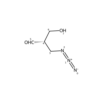 [N-]=[N+]=NC[C@H](C=O)CO